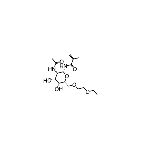 C=C(C)C(=O)N[C@@H]1O[C@H](COCCOCC)[C@H](O)[C@H](O)[C@H]1NC(C)=O